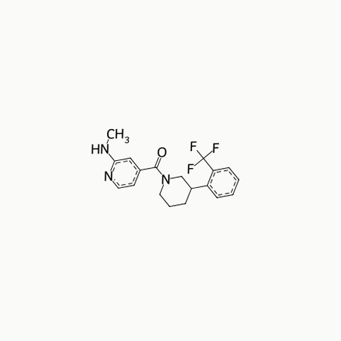 CNc1cc(C(=O)N2CCCC(c3ccccc3C(F)(F)F)C2)ccn1